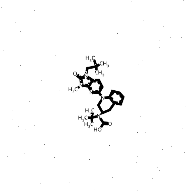 Cn1c(=O)n(CC(C)(C)C)c2ccc(N3C[C@H](N(C(=O)O)C(C)(C)C)Cc4ccccc43)nc21